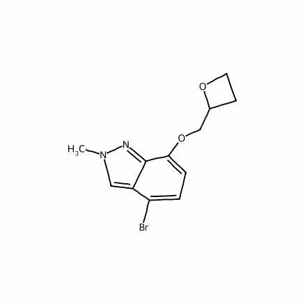 Cn1cc2c(Br)ccc(OCC3CCO3)c2n1